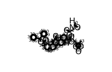 CC(=O)NCC(=O)O[C@H]1CC[C@@]2(C)[C@@H](CC[C@]3(C)[C@@H]2C(=O)C=C2[C@@H]4C[C@@](C)(C(=O)OC(c5ccccc5)c5ccccc5)CC[C@]4(C)CC[C@]23C)[C@]1(C)C(=O)OCc1oc(=O)oc1C